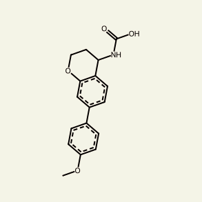 COc1ccc(-c2ccc3c(c2)OCCC3NC(=O)O)cc1